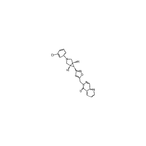 O=c1c2cccnc2cnn1Cc1nc([C@H]2[C@@H]3CN(c4cccc(Cl)c4)C[C@@H]32)no1